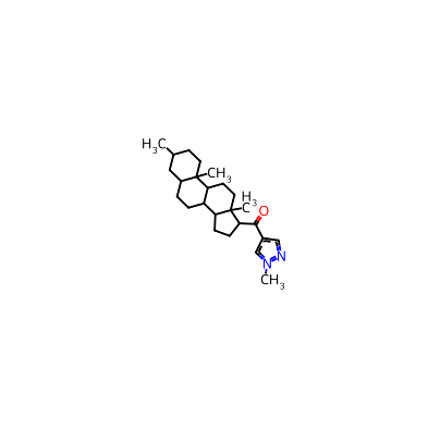 CC1CCC2(C)C(CCC3C2CCC2(C)C(C(=O)c4cnn(C)c4)CCC32)C1